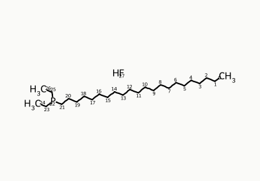 CCCCCCCCCCCCCCCCCCCCCCP(CC)CC.F